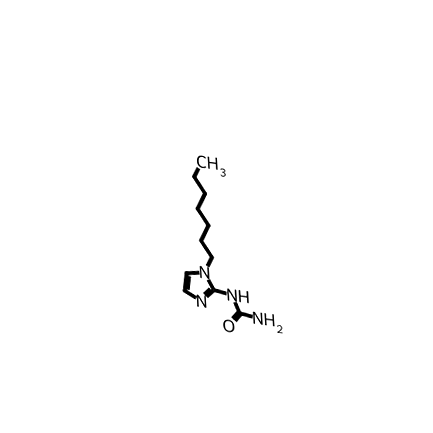 CCCCCCCn1ccnc1NC(N)=O